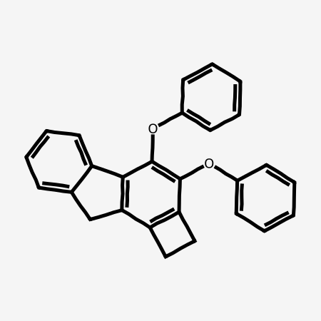 c1ccc(Oc2c3c(c4c(c2Oc2ccccc2)-c2ccccc2C4)CC3)cc1